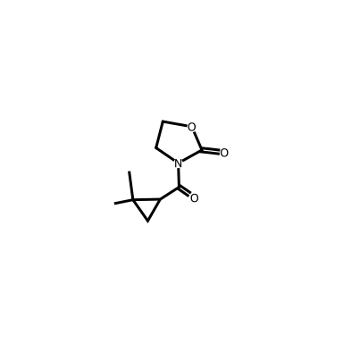 CC1(C)CC1C(=O)N1CCOC1=O